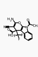 CC(=O)n1c2c(c3ccccc31)C(C(=O)O)(C(F)(F)F)C(C#N)=C(N)O2